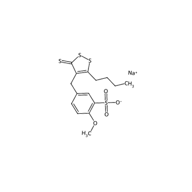 CCCCc1ssc(=S)c1Cc1ccc(OC)c(S(=O)(=O)[O-])c1.[Na+]